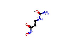 NC(=O)NCCC(=O)N=O